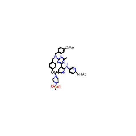 COc1ccc(CN(Cc2ccc(OC)cc2)c2nc(C)nc(-c3cc(CN4CCN(S(C)(=O)=O)CC4)cnc3Nc3ccc(NC(C)=O)nc3)n2)cc1